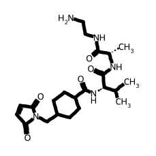 CC(C)[C@H](NC(=O)C1CCC(CN2C(=O)C=CC2=O)CC1)C(=O)N[C@@H](C)C(=O)NCCN